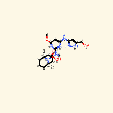 COc1cc(Nc2cc(CO)[nH]n2)nc(N(C)[C@H]2C[C@@H]3CCC[C@](C)(C2)N3C(=O)O)n1